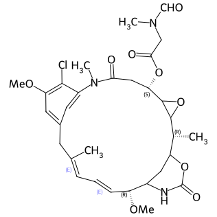 COc1cc2cc(c1Cl)N(C)C(=O)C[C@H](OC(=O)CN(C)C=O)C1OC1[C@H](C)C1CC(NC(=O)O1)[C@H](OC)/C=C/C=C(\C)C2